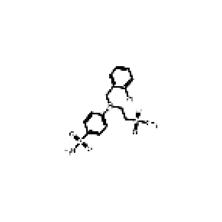 CS(=O)(=O)CCN(Cc1ccccc1Cl)c1ccc(S(N)(=O)=O)cc1